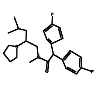 CC(C)CC(CN(C)C(=O)C(c1ccc(F)cc1)c1ccc(F)cc1)N1CCCC1